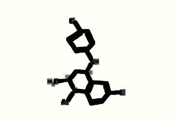 CC(=O)N1c2ccc(Cl)cc2[C@H](Nc2ccc(Cl)cc2)C[C@@H]1C